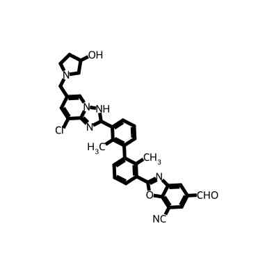 Cc1c(-c2nc3cc(C=O)cc(C#N)c3o2)cccc1-c1cccc(C2N=C3C(Cl)=CC(CN4CCC(O)C4)=CN3N2)c1C